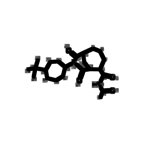 CC(=O)NC(=O)C1CCCC2CC1C(=O)N(C1CCCC(C(C)(C)C)CC1)C2=O